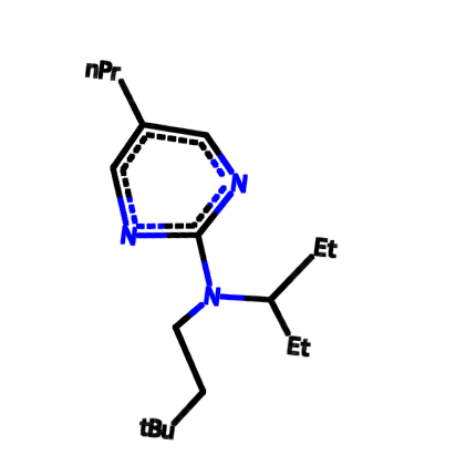 CCCc1cnc(N(CCC(C)(C)C)C(CC)CC)nc1